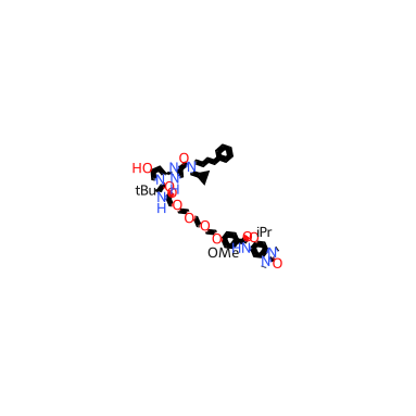 COc1cc(OCCOCCOCCOCC(=O)N[C@H](C(=O)N2C[C@H](O)C[C@H]2c2nc(C(=O)N(CCCCc3ccccc3)CC3CC3)c[nH]2)C(C)(C)C)ccc1C(=O)Nc1cc2c(cc1OC(C)C)n(C)c(=O)n2C